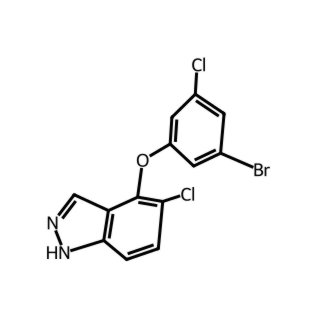 Clc1cc(Br)cc(Oc2c(Cl)ccc3[nH]ncc23)c1